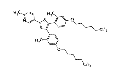 CCCCCCOc1ccc(-c2cc(-c3ccc(C)nc3)sc2-c2ccc(OCCCCCC)cc2C)c(C)c1